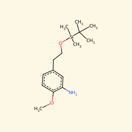 COc1ccc(CCO[Si](C)(C)C(C)(C)C)cc1N